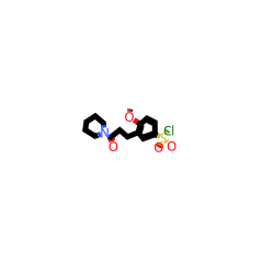 COc1ccc(S(=O)(=O)Cl)cc1CCC(=O)N1CCCCC1